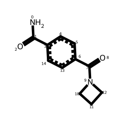 NC(=O)c1[c]cc(C(=O)N2CCC2)cc1